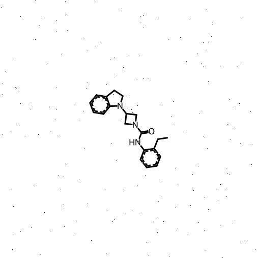 CCc1ccccc1NC(=O)N1CC(N2CCc3ccccc32)C1